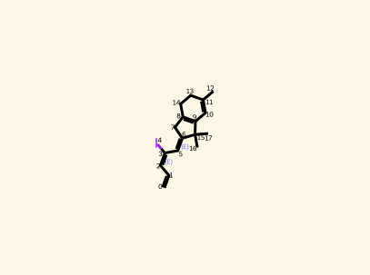 C=C/C=C(I)\C=C1/CC2=C(C=C(C)CC2)C1(C)C